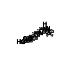 CC(C)(C)c1cnc(Nc2ccc(-c3ccc(C45CCC(CC(=O)O)(CC4)OC5)cc3)nc2)o1